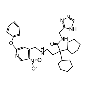 O=C(NCc1nnc[nH]1)C(CCNCc1cc(Oc2ccccc2)ncc1[N+](=O)[O-])(C1CCCCC1)C1CCCCC1